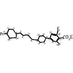 CCCC1CCC(CCCCC2CCC(c3cc(F)c(C(=O)OCC)c(F)c3)CC2)CC1